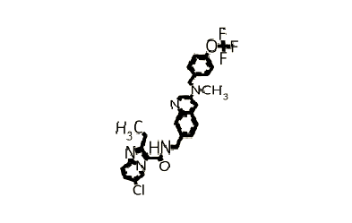 CCc1nc2ccc(Cl)cn2c1C(=O)NCc1ccc2cc(N(C)Cc3ccc(OC(F)(F)F)cc3)cnc2c1